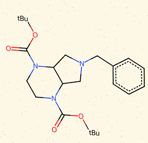 CC(C)(C)OC(=O)N1CCN(C(=O)OC(C)(C)C)C2CN(Cc3ccccc3)CC21